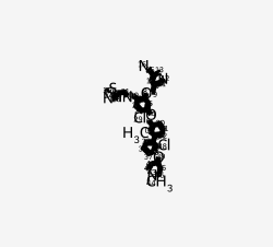 Cc1c(COc2cc(OCc3cncc(C#N)c3)c(CNCc3cncs3)cc2Cl)cccc1-c1cccc(OC2CCN(C)CC2)c1Cl